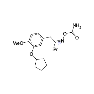 COc1ccc(C/C(=N\OC(N)=O)C(C)C)cc1OC1CCCC1